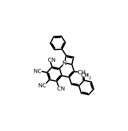 C=c1cccc/c1=C/C1=C(C)C2C=C(c3ccccc3)N2c2c(C#N)c(C#N)c(C#N)c(C#N)c21